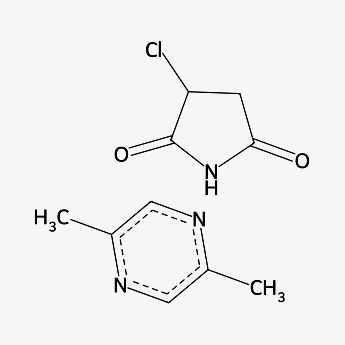 Cc1cnc(C)cn1.O=C1CC(Cl)C(=O)N1